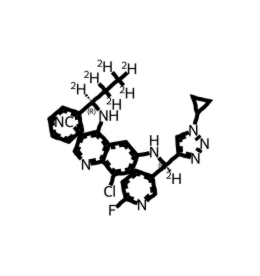 [2H]C([2H])([2H])C([2H])([2H])[C@@]([2H])(Nc1c(C#N)cnc2c(Cl)cc(N[C@]([2H])(c3ccc(F)nc3)c3cn(C4CC4)nn3)cc12)c1ccccc1